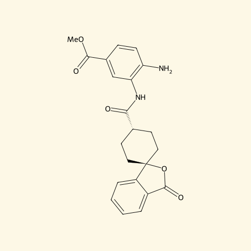 COC(=O)c1ccc(N)c(NC(=O)[C@H]2CC[C@@]3(CC2)OC(=O)c2ccccc23)c1